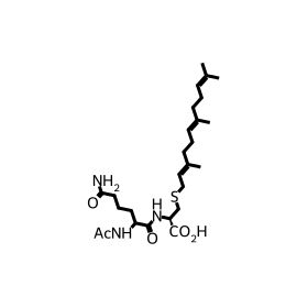 CC(=O)NC(CCCC(N)=O)C(=O)N[C@@H](CSC/C=C(\C)CC/C=C(\C)CCC=C(C)C)C(=O)O